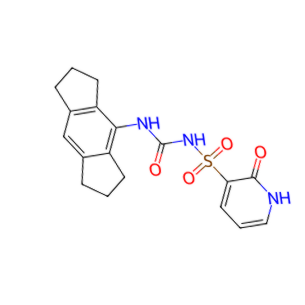 O=C(Nc1c2c(cc3c1CCC3)CCC2)NS(=O)(=O)c1ccc[nH]c1=O